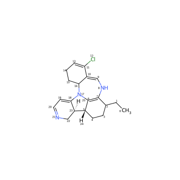 CCC1CC[C@H]2C3=C1NC=C1C(Cl)=CCCC1N3C1=CC=NC[C@@H]12